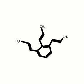 CC=Cc1c[c]cc(C=CC)c1C=CC